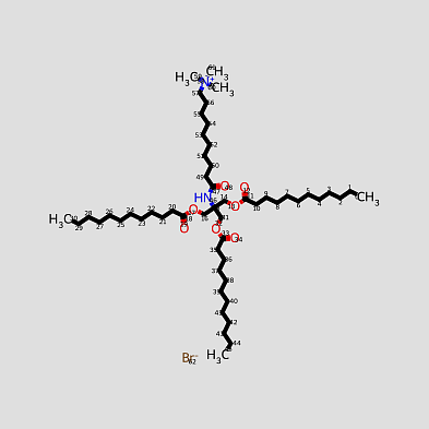 CCCCCCCCCCCC(=O)OCC(COC(=O)CCCCCCCCCCC)(COC(=O)CCCCCCCCCCC)NC(=O)CCCCCCCCC[N+](C)(C)C.[Br-]